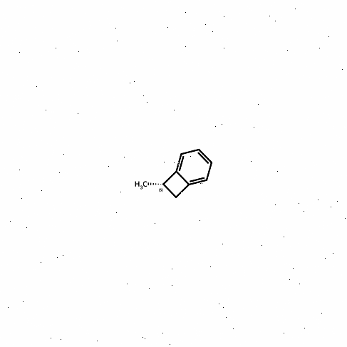 C[C@H]1Cc2ccccc21